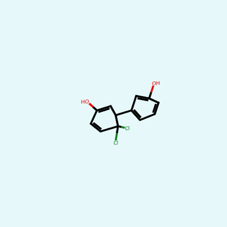 OC1=CC(c2cccc(O)c2)C(Cl)(Cl)C=C1